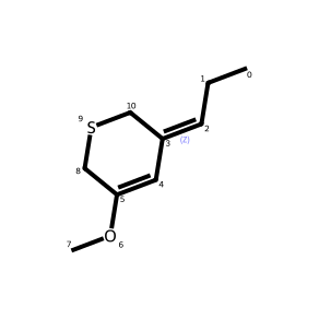 CC/C=C1/C=C(OC)CSC1